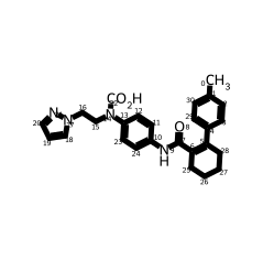 Cc1ccc(C2=C(C(=O)Nc3ccc(N(CCn4cccn4)C(=O)O)cc3)CCCC2)cc1